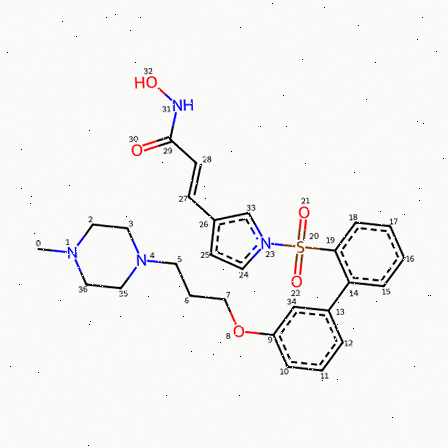 CN1CCN(CCCOc2cccc(-c3ccccc3S(=O)(=O)n3ccc(/C=C/C(=O)NO)c3)c2)CC1